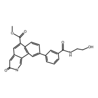 COC(=O)c1cc2c(c3cc(-c4cccc(C(=O)NCCO)c4)ccc13)=C[N]C(=O)C=2